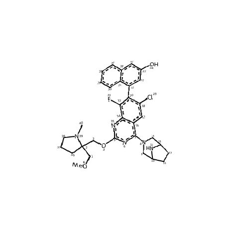 COCC1(COc2nc(N3CC4CCC(C3)N4)c3cc(Cl)c(-c4cc(O)cc5ccccc45)c(F)c3n2)CCCN1C